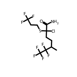 CC(CCC(Cl)(SCCC(F)(F)F)C(N)=O)C(F)(F)C(F)(F)F